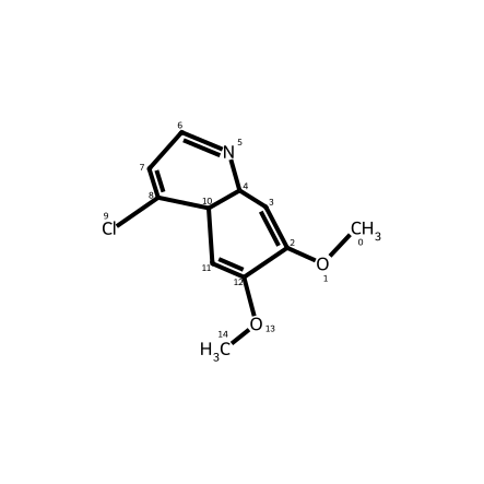 COC1=CC2N=CC=C(Cl)C2C=C1OC